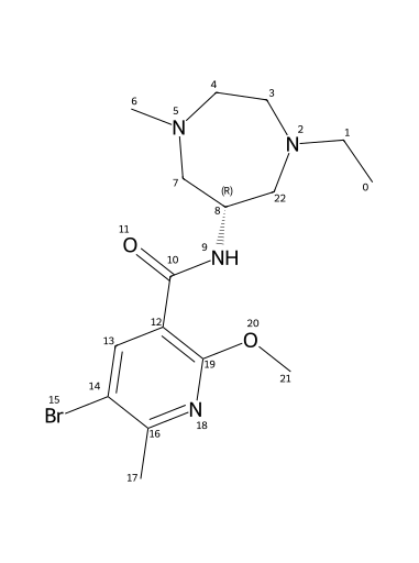 CCN1CCN(C)C[C@@H](NC(=O)c2cc(Br)c(C)nc2OC)C1